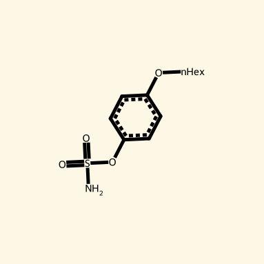 CCCCCCOc1ccc(OS(N)(=O)=O)cc1